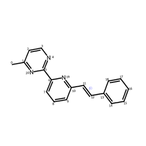 Cc1ccnc(-c2cccc(/C=C/c3ccccc3)n2)n1